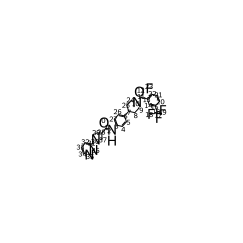 O=C(Nc1ccc(C2CCN(C(=O)c3cc(C(F)(F)F)ccc3F)CC2)cc1)C1CN(c2cccnn2)C1